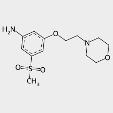 CS(=O)(=O)c1cc(N)cc(OCCN2CCOCC2)c1